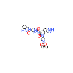 CC(C)(C)OC(=O)N1CCC(N2Cc3c(ccc4[nH]ncc34)C[C@@H](NC(=O)N3CCC(N4Cc5ccccc5NC4=O)CC3)C2=O)CC1